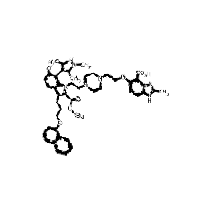 Cc1nc2c(C(=O)O)c(OCCN3CCN(CCn4c(C(=O)OC(C)(C)C)c(CCCOc5cccc6ccccc56)c5ccc(Cl)c(-c6c(C)nn(C)c6C)c54)CC3)ccc2[nH]1